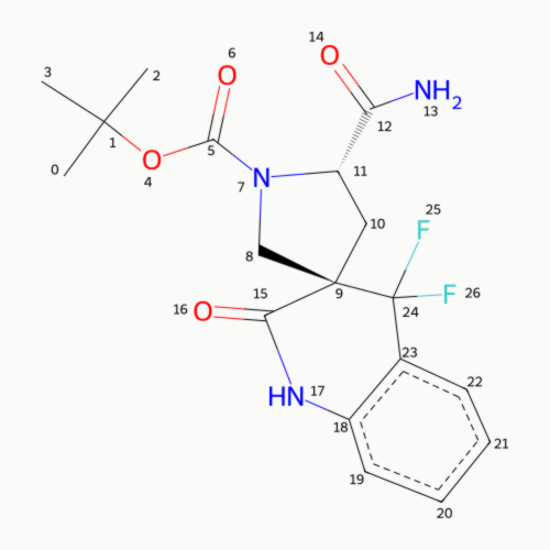 CC(C)(C)OC(=O)N1C[C@]2(C[C@H]1C(N)=O)C(=O)Nc1ccccc1C2(F)F